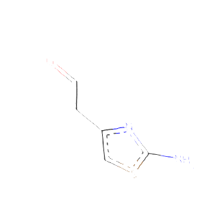 Nc1nc([CH]C=O)cs1